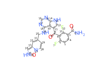 NC(=O)c1ccc(F)c(C(=O)c2c[nH]c3ncnc(NCC4=CC5=CNON5C=C4)c23)c1F